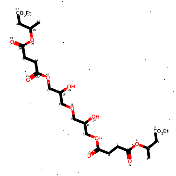 CCOC(=O)CC(C)OC(=O)CCC(=O)OCC(O)COCC(O)COC(=O)CCC(=O)OC(C)CC(=O)OCC